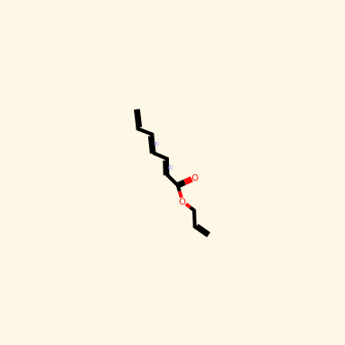 C=C/C=C/C=C/C(=O)OCC=C